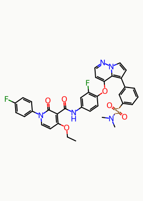 CCOc1ccn(-c2ccc(F)cc2)c(=O)c1C(=O)Nc1ccc(Oc2ccnn3ccc(-c4cccc(S(=O)(=O)N(C)C)c4)c23)c(F)c1